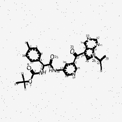 Cc1ccc(C(NC(=O)OC(C)(C)C)C(=O)Nc2cncc(C(=O)c3cn(C(C)C)c4ncncc34)c2)cc1